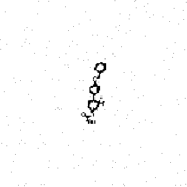 CC(C)(C)C(=O)ON1CCC(c2ccc(OCc3ccccc3)cc2)C(F)(F)C1